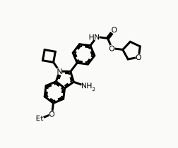 CCOc1ccc2c(c1)c(N)c(-c1ccc(NC(=O)OC3CCOC3)cc1)n2C1CCC1